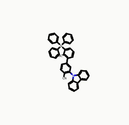 N#Cc1ccc(-c2cccc([Si](c3ccccc3)(c3ccccc3)c3ccccc3)c2C#N)cc1-n1c2ccccc2c2ccccc21